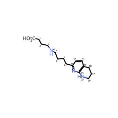 O=C(O)CCCNCCCCc1ccc2c(n1)NCCC2